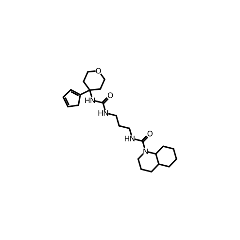 O=C(NCCCNC(=O)N1CCCC2CCCCC21)NC1(C2=CC=CC2)CCOCC1